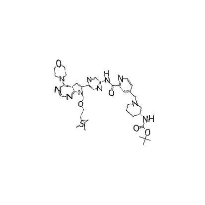 CC(C)(C)OC(=O)N[C@@H]1CCCN(Cc2ccnc(C(=O)Nc3cnc(-c4cc5c(N6CCOCC6)ncnc5n4COCC[Si](C)(C)C)cn3)c2)C1